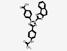 CC(=O)Nc1ccc(-c2nn(-c3ccc(C(=O)O)cc3)[n+](-c3nc4c(ccc5ccccc54)s3)n2)cc1